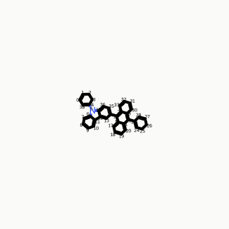 C1=CCCC(n2c3ccccc3c3cc(-c4c5ccccc5c(C5=CCCC=C5)c5ccccc45)ccc32)=C1